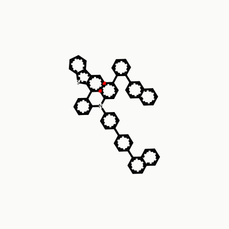 c1ccc(-c2ccc3ccccc3c2)c(-c2ccc(N(c3ccc(-c4ccc(-c5cccc6ccccc56)cc4)cc3)c3ccccc3-c3cccc4c3sc3ccccc34)cc2)c1